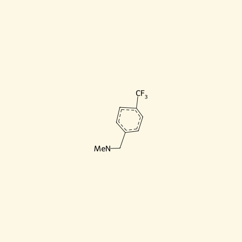 [CH2-][NH2+]Cc1ccc(C(F)(F)F)cc1